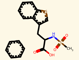 CS(=O)(=O)NC(Cc1csc2ccccc12)C(=O)O.c1ccccc1